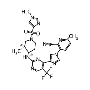 Cc1ccc(-n2cnc(-c3nc(N[C@H]4CCN(S(=O)(=O)c5cn(C)cn5)C[C@H]4C)ncc3C(F)(F)F)c2)c(C#N)n1